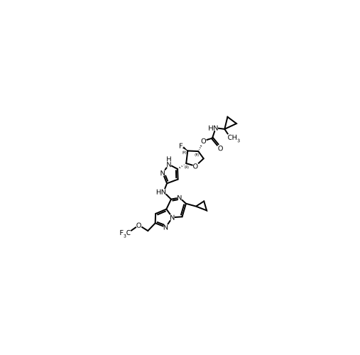 CC1(NC(=O)O[C@@H]2CO[C@H](c3cc(Nc4nc(C5CC5)cn5nc(COC(F)(F)F)cc45)n[nH]3)[C@H]2F)CC1